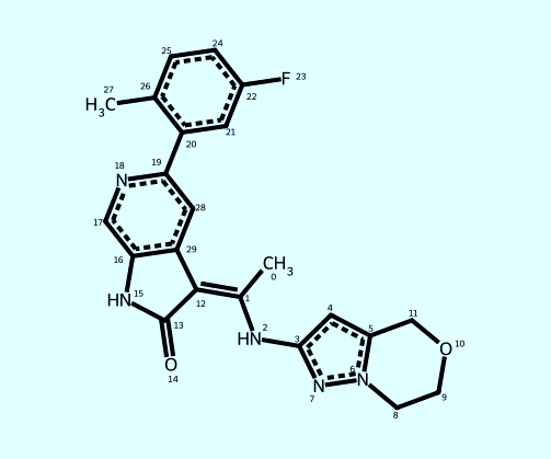 C/C(Nc1cc2n(n1)CCOC2)=C1/C(=O)Nc2cnc(-c3cc(F)ccc3C)cc21